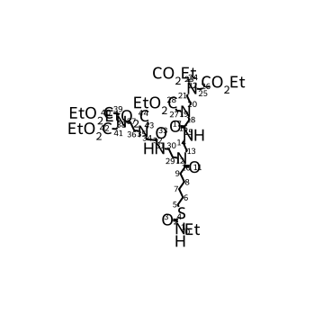 CCNC(=O)SCCCCCC(=O)N(CCNC(=O)CN(CCN(CC(=O)OCC)CC(=O)OCC)CC(=O)OCC)CCNC(=O)CN(CCN(CC(=O)OCC)CC(=O)OCC)CC(=O)OCC